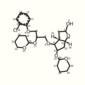 OC1C[C@H]2C(OCC(COc3ccccc3Cl)OC3CCCCO3)[C@H](OC3CCCCO3)C[C@H]2O1